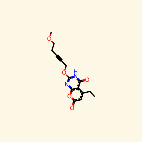 CCc1cc(=O)oc2nc(OCC#CCCOC)[nH]c(=O)c12